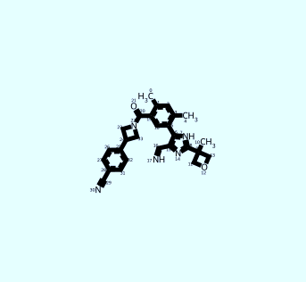 Cc1cc(C)c(-c2[nH]c(C3(C)COC3)nc2C=N)cc1C(=O)N1CC(c2ccc(C#N)cc2)C1